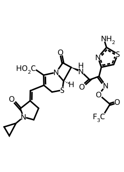 Nc1nc(/C(=N/OC(=O)C(F)(F)F)C(=O)N[C@@H]2C(=O)N3C(C(=O)O)=C(/C=C4\CCN(C5CC5)C4=O)CS[C@H]23)cs1